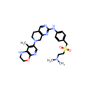 Cc1c(N2CCc3cnc(Nc4ccc(CS(=O)(=O)CCN(C)C)cc4)nc3C2)cnc2c1NCCO2